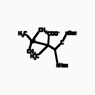 CCCCCCCCCCCC(CCCCCC)C(C)(C(=O)[O-])[N+](C)(C)C